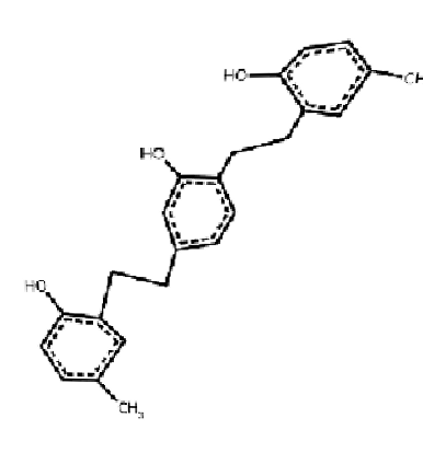 Cc1ccc(O)c(CCc2ccc(CCc3cc(C)ccc3O)c(O)c2)c1